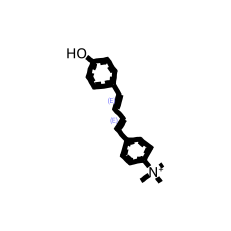 C[N+](C)(C)c1ccc(/C=C/C=C/c2ccc(O)cc2)cc1